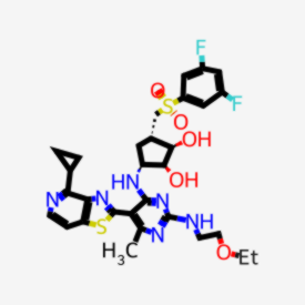 CCOCCNc1nc(C)c(-c2nc3c(C4CC4)nccc3s2)c(N[C@@H]2C[C@H](CS(=O)(=O)c3cc(F)cc(F)c3)[C@@H](O)[C@H]2O)n1